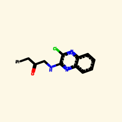 CC(C)CC(=O)CNc1nc2ccccc2nc1Cl